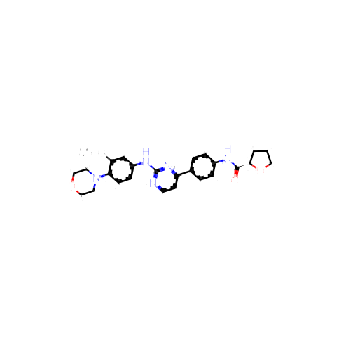 COc1cc(Nc2nccc(-c3ccc(NC(=O)[C@H]4CCCO4)cc3)n2)ccc1N1CCOCC1